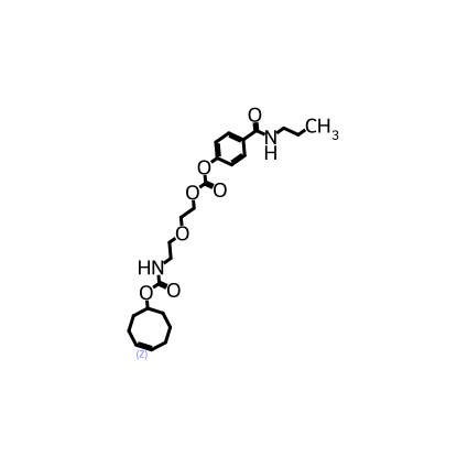 CCCNC(=O)c1ccc(OC(=O)OCCOCCNC(=O)OC2CC/C=C\CCC2)cc1